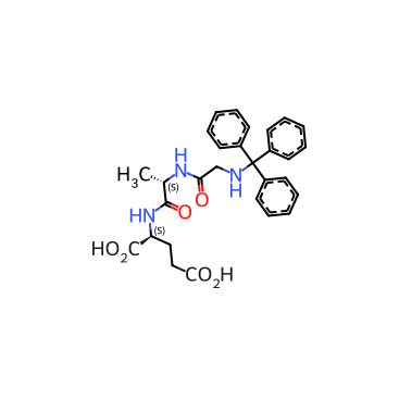 C[C@H](NC(=O)CNC(c1ccccc1)(c1ccccc1)c1ccccc1)C(=O)N[C@@H](CCC(=O)O)C(=O)O